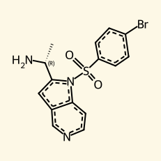 C[C@@H](N)c1cc2cnccc2n1S(=O)(=O)c1ccc(Br)cc1